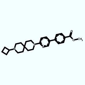 COC(=O)c1ccc(-c2ccc(N3CCC4(CC3)CCN(C3CCC3)CC4)nc2)cc1